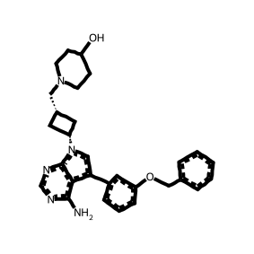 Nc1ncnc2c1c(-c1cccc(OCc3ccccc3)c1)cn2[C@H]1C[C@@H](CN2CCC(O)CC2)C1